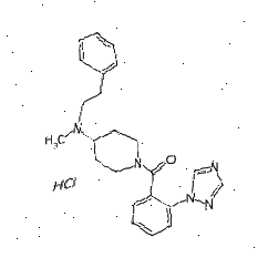 CN(CCc1ccccc1)C1CCN(C(=O)c2ccccc2-n2cncn2)CC1.Cl